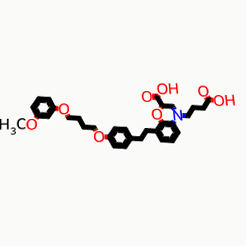 COc1cccc(OCCCCOc2ccc(CCc3cccc4c3OC(C(=O)O)CN4CCCC(=O)O)cc2)c1